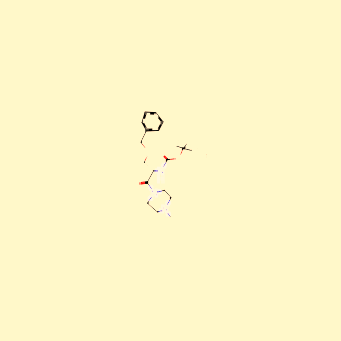 CN1CCN(C(=O)[C@@H](COCc2ccccc2)NC(=O)OC(C)(C)C)CC1